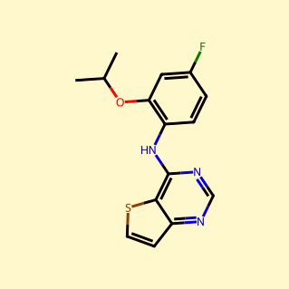 CC(C)Oc1cc(F)ccc1Nc1ncnc2ccsc12